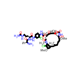 COc1cc2cc(c1Cl)N(C)C(=O)C[C@H](OC(=O)Nc1ccc(NC(=O)[C@H](CCCNC(N)=O)NC(=O)[C@@H](N)C(C)C)cc1Cl)[C@]1(C)O[C@H]1[C@H](C)[C@@H]1C[C@@](O)(NC(=O)O1)[C@H](OC)/C=C/C=C(\C)C2